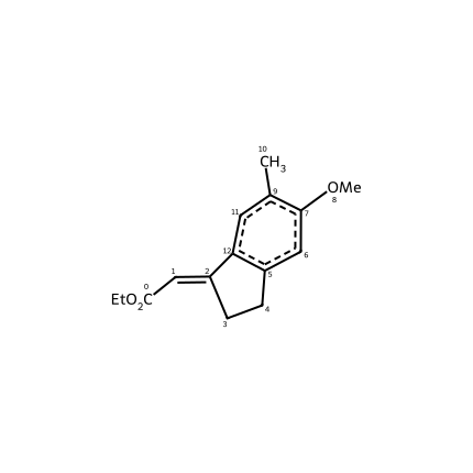 CCOC(=O)C=C1CCc2cc(OC)c(C)cc21